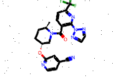 C[C@@H]1CC[C@@H](Oc2cc(C#N)ccn2)CN1C(=O)c1ccc(C(F)(F)F)nc1-n1nccn1